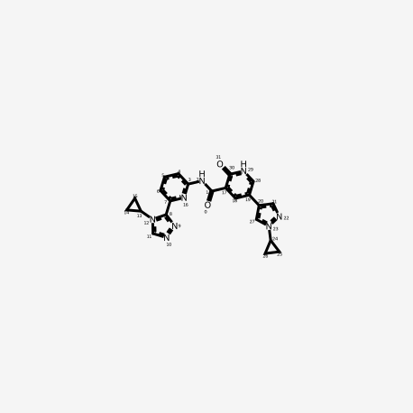 O=C(Nc1cccc(-c2nncn2C2CC2)n1)c1cc(-c2cnn(C3CC3)c2)c[nH]c1=O